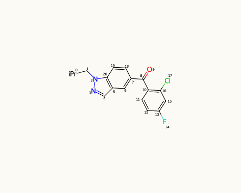 CC(C)Cn1ncc2cc(C(=O)c3ccc(F)cc3Cl)ccc21